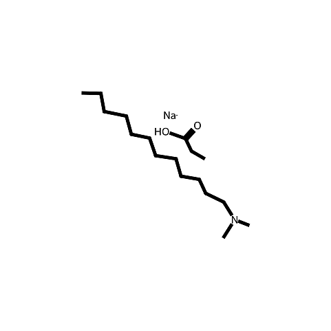 CCC(=O)O.CCCCCCCCCCCCN(C)C.[Na]